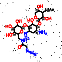 CNC1[C@@H](O)[C@@H](O[C@H]2C(O)[C@H](O[C@H]3OC(CNC(=O)CN=[N+]=[N-])[C@@H](O)[C@H](O)C3O)C(N)C[C@H]2N)OC[C@@H]1O